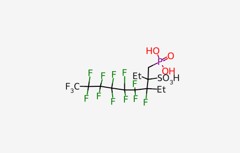 CCC(F)(C(F)(F)C(F)(F)C(F)(F)C(F)(F)C(F)(F)C(F)(F)F)C(CC)(CP(=O)(O)O)S(=O)(=O)O